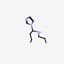 CCCNC(CCC)n1ccnc1